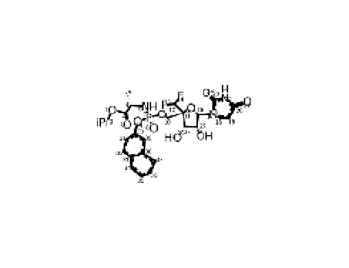 CC(C)OC(=O)[C@H](C)NP(=O)(OC[C@@]1(C(F)F)O[C@@H](n2ccc(=O)[nH]c2=O)[C@H](O)[C@@H]1O)Oc1ccc2ccccc2c1